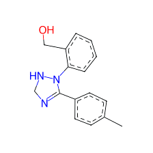 Cc1ccc(C2=NCNN2c2ccccc2CO)cc1